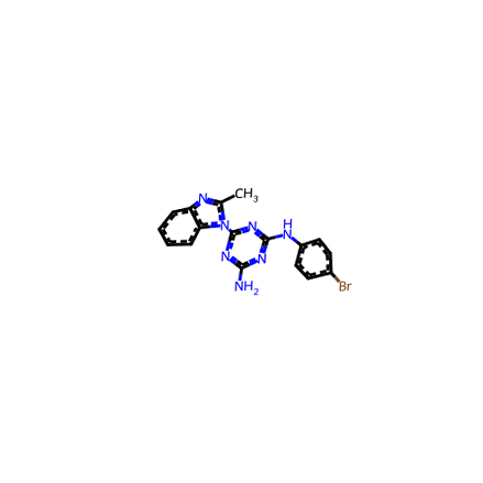 Cc1nc2ccccc2n1-c1nc(N)nc(Nc2ccc(Br)cc2)n1